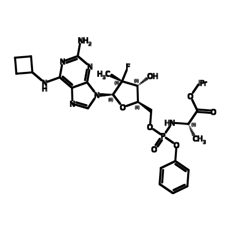 CC(C)OC(=O)[C@H](C)NP(=O)(OC[C@H]1O[C@@H](n2cnc3c(NC4CCC4)nc(N)nc32)[C@](C)(F)[C@@H]1O)Oc1ccccc1